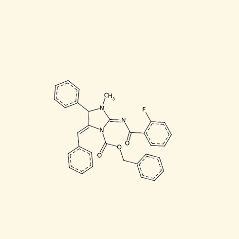 CN1/C(=N/C(=O)c2ccccc2F)N(C(=O)OCc2ccccc2)/C(=C\c2ccccc2)C1c1ccccc1